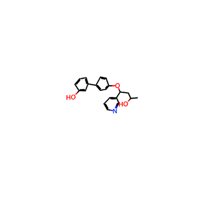 CC(O)CC(Oc1ccc(-c2cccc(O)c2)cc1)c1cccnc1